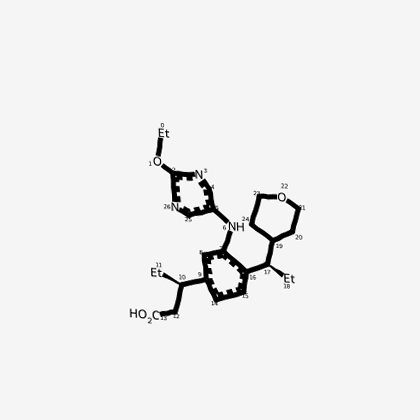 CCOc1ncc(Nc2cc([C@H](CC)CC(=O)O)ccc2[C@H](CC)C2CCOCC2)cn1